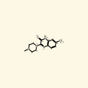 CN1CCN(c2nc3ccc(C(F)(F)F)cc3[nH]c2=O)CC1